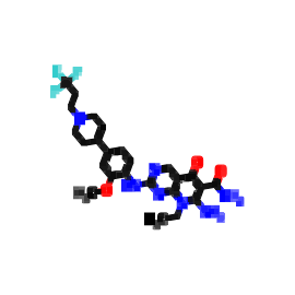 CCn1c(N)c(C(N)=O)c(=O)c2cnc(Nc3ccc(C4=CCN(CCC(F)(F)F)CC4)cc3OC)nc21